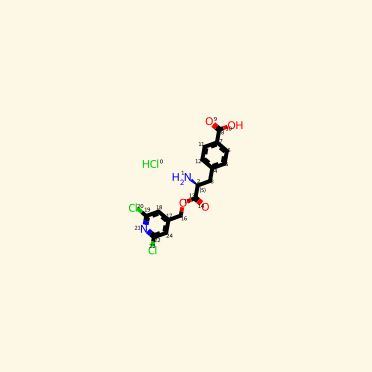 Cl.N[C@@H](Cc1ccc(C(=O)O)cc1)C(=O)OCc1cc(Cl)nc(Cl)c1